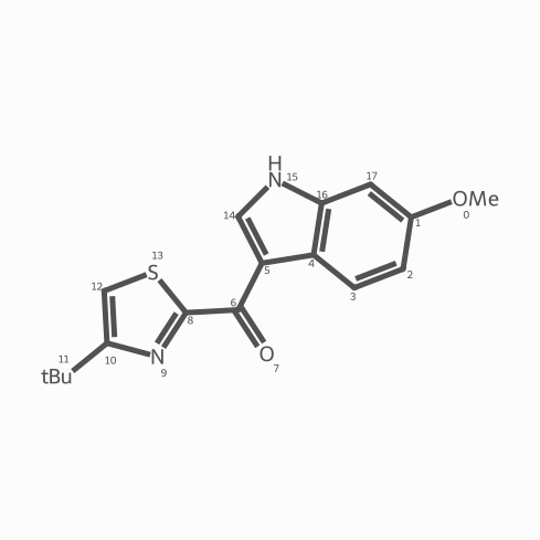 COc1ccc2c(C(=O)c3nc(C(C)(C)C)cs3)c[nH]c2c1